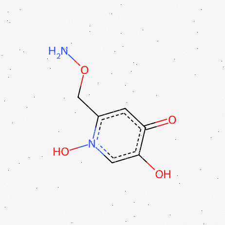 NOCc1cc(=O)c(O)cn1O